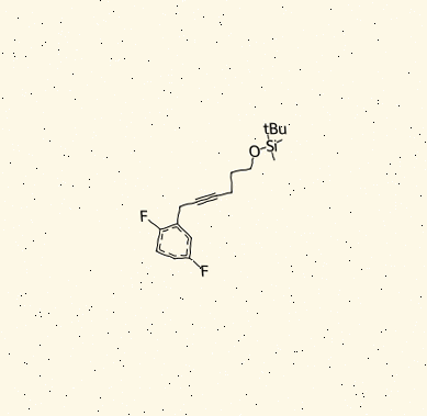 CC(C)(C)[Si](C)(C)OCCCC#CCc1cc(F)ccc1F